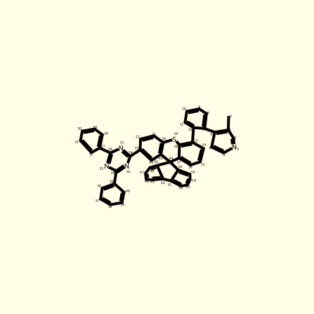 Cc1cnccc1-c1ccccc1-c1cccc2c1Sc1ccc(-c3nc(-c4ccccc4)nc(-c4ccccc4)n3)cc1C21c2ccccc2-c2ccccc21